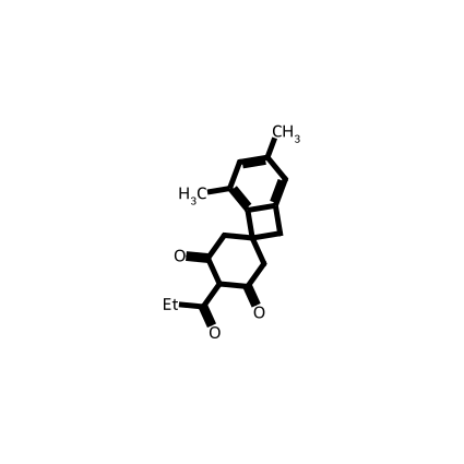 CCC(=O)C1C(=O)CC2(CC1=O)Cc1cc(C)cc(C)c12